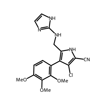 COc1ccc(-c2c(CNc3ncc[nH]3)[nH]c(C#N)c2Cl)c(OC)c1OC